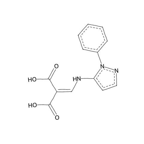 O=C(O)C(=CNc1ccnn1-c1ccccc1)C(=O)O